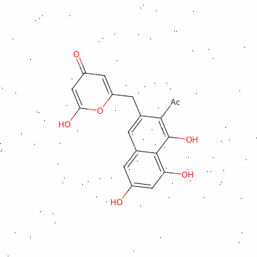 CC(=O)c1c(Cc2cc(=O)cc(O)o2)cc2cc(O)cc(O)c2c1O